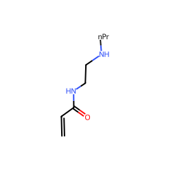 C=CC(=O)NCCNCCC